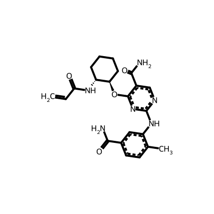 C=CC(=O)N[C@@H]1CCCC[C@H]1Oc1nc(Nc2cc(C(N)=O)ccc2C)ncc1C(N)=O